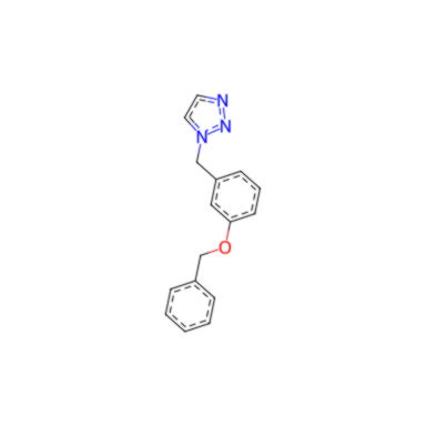 c1ccc(COc2cccc(Cn3ccnn3)c2)cc1